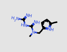 Cc1ccc(CN(C)C(=N)NC(=N)N)[nH]1